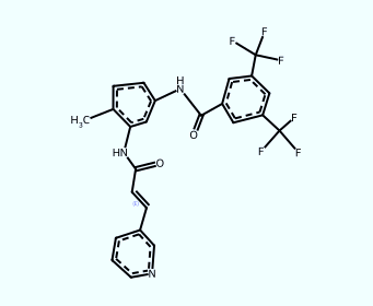 Cc1ccc(NC(=O)c2cc(C(F)(F)F)cc(C(F)(F)F)c2)cc1NC(=O)/C=C/c1cccnc1